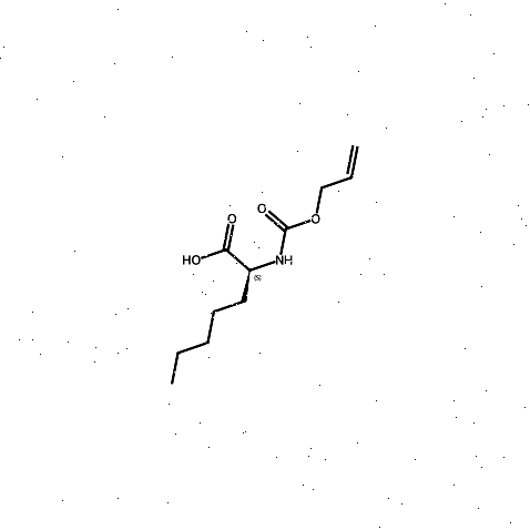 C=CCOC(=O)N[C@@H](CCCCC)C(=O)O